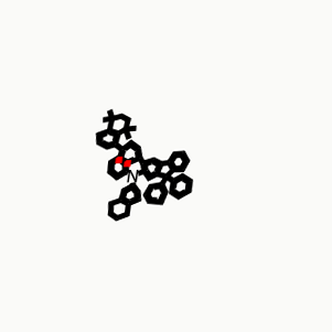 CC1(C)CCC(C)(C)c2c(-c3ccc(-c4cc5c(cc4N(c4ccccc4)c4ccc6c(c4)CCCC6)C(c4ccccc4)(c4ccccc4)c4ccccc4-5)cc3)cccc21